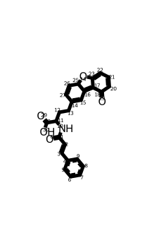 O=C(C=Cc1ccccc1)NC(CCC1=CC2=C3C(=O)C=CC=C3OC2C=C1)C(=O)O